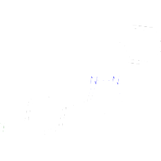 Clc1ccc(C2=NN(c3ccccc3)CC2)cc1